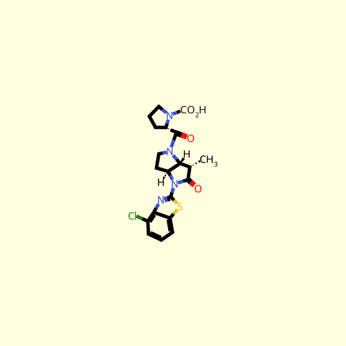 C[C@@H]1C(=O)N(c2nc3c(Cl)cccc3s2)[C@H]2CCN(C(=O)[C@@H]3CCCN3C(=O)O)[C@H]12